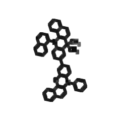 CC1(C)c2cc(-c3ccc4c(c3)Oc3c(ccc5ccccc35)N4c3ccccc3)ccc2N(c2cccc3ccccc23)c2c1ccc1ccccc21